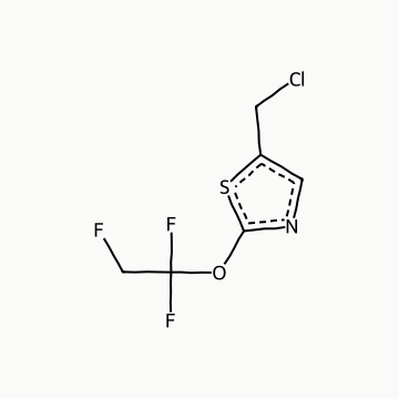 FCC(F)(F)Oc1ncc(CCl)s1